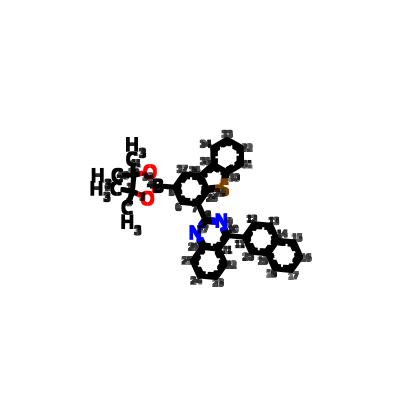 CC1(C)OB(c2cc(-c3nc(-c4ccc5ccccc5c4)c4ccccc4n3)c3sc4ccccc4c3c2)OC1(C)C